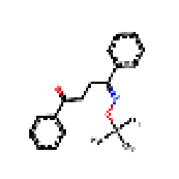 C[Si](C)(C)ON=C(CCC(=O)c1ccccc1)c1ccccc1